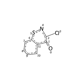 O=c1c(Cl)nsc2ccccc12